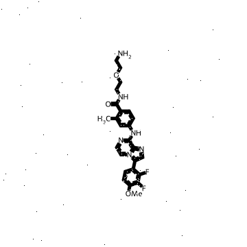 COc1ccc(-c2cnc3c(Nc4ccc(C(=O)NCCOCCN)c(C)c4)nccn23)c(F)c1F